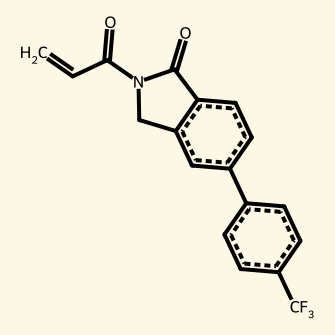 C=CC(=O)N1Cc2cc(-c3ccc(C(F)(F)F)cc3)ccc2C1=O